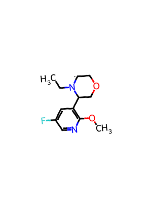 CCN1[CH]COCC1c1cc(F)cnc1OC